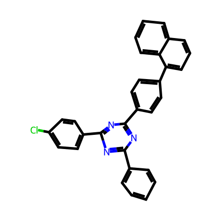 Clc1ccc(-c2nc(-c3ccccc3)nc(-c3ccc(-c4cccc5ccccc45)cc3)n2)cc1